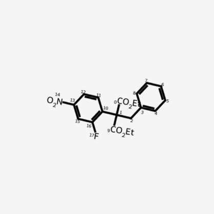 CCOC(=O)C(Cc1ccccc1)(C(=O)OCC)c1ccc([N+](=O)[O-])cc1F